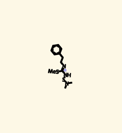 CS/C(=N\CCc1ccccc1)NSN(C)C